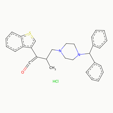 CC(CN1CCN(C(c2ccccc2)c2ccccc2)CC1)C(=C=O)c1csc2ccccc12.Cl